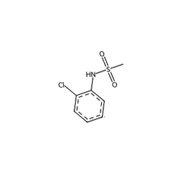 CS(=O)(=O)Nc1c[c]ccc1Cl